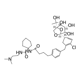 CN(C)CCNC(=O)C1(NC(=O)CCCc2ccc(CC3=C(Cl)C=CC([C@]45OC[C@](C(C)(C)O)(O4)[C@@H](O)[C@H](O)[C@H]5O)C3)cc2)CCCCC1